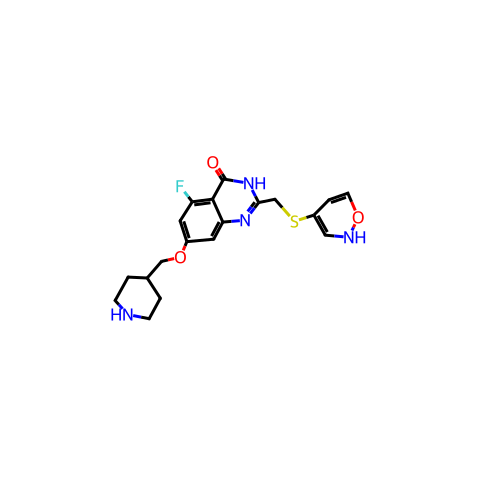 O=c1[nH]c(CSC2=CNOC=C2)nc2cc(OCC3CCNCC3)cc(F)c12